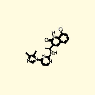 Cc1ncn(-c2ccnc(N[C@@H](C)c3cc4cccc(Cl)c4[nH]c3=O)n2)c1C